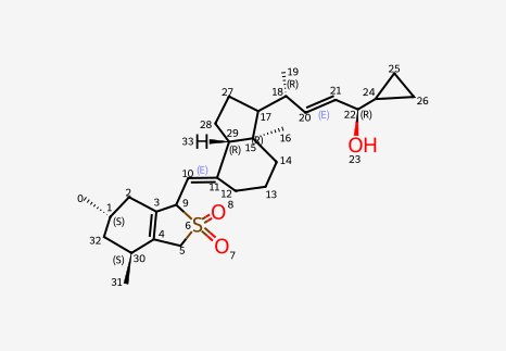 C[C@@H]1CC2=C(CS(=O)(=O)C2/C=C2\CCC[C@]3(C)C([C@H](C)/C=C/[C@H](O)C4CC4)CC[C@@H]23)[C@@H](C)C1